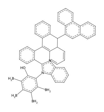 Bc1c(B)c(B)c(-n2c(-c3ccccc3C3=C4C=CC=CC4C(c4cc5ccccc5c5ccccc45)c4ccccc43)nc3ccccc32)c(O)c1B